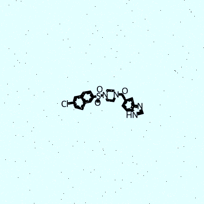 O=C(c1ccc2[nH]cnc2c1)N1CCN(S(=O)(=O)c2ccc3cc(Cl)ccc3c2)CC1